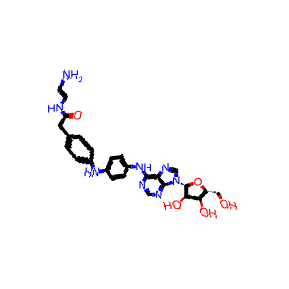 NCCNC(=O)Cc1ccc(Nc2ccc(Nc3ncnc4c3ncn4[C@@H]3O[C@H](CO)[C@@H](O)[C@H]3O)cc2)cc1